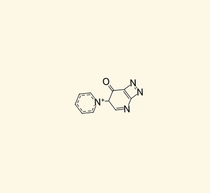 O=C1C2=C(N=CC1[n+]1ccccc1)N=N2